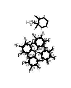 CC1CCCCC1(C)[NH3+].Fc1c(F)c(F)c([B-](c2c(F)c(F)c(F)c(F)c2F)(c2c(F)c(F)c(F)c(F)c2F)c2c(F)c(F)c(F)c(F)c2F)c(F)c1F